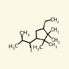 CCC1CC(C(I)C(C)C)C(C)(C)C1(C)C